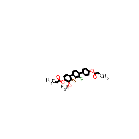 C=CC(=O)Oc1ccc(-c2ccc3c(sc4c(OC(F)(F)F)c(OC(=O)C=C)ccc43)c2F)cc1